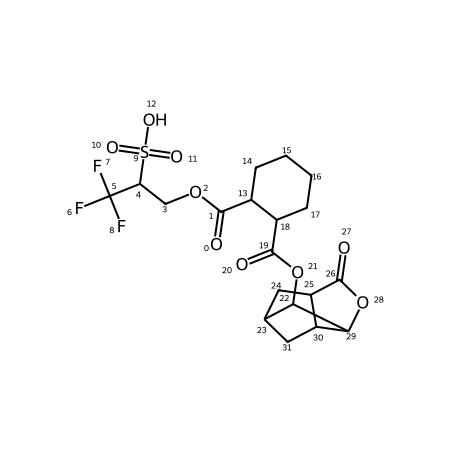 O=C(OCC(C(F)(F)F)S(=O)(=O)O)C1CCCCC1C(=O)OC1C2CC3C(=O)OC1C3C2